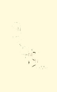 COc1cc(C)c(CC2(NC(=O)Cl)CCN(OCC(O)CN3CCCCC3)CC2)cn1